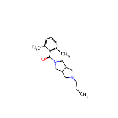 CCCN1CC2CN(C(=O)c3c(C)cccc3C)CC2C1